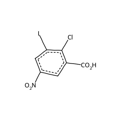 O=C(O)c1cc([N+](=O)[O-])cc(I)c1Cl